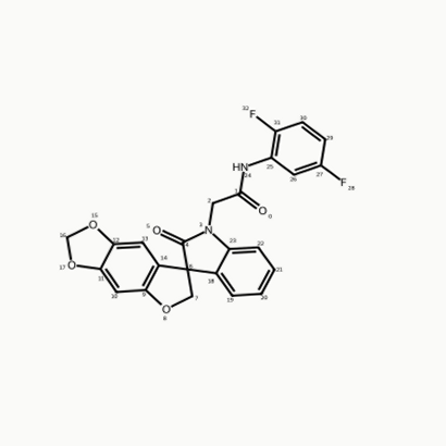 O=C(CN1C(=O)C2(COc3cc4c(cc32)OCO4)c2ccccc21)Nc1cc(F)ccc1F